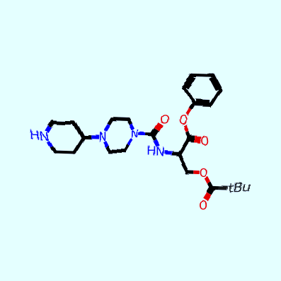 CC(C)(C)C(=O)OCC(NC(=O)N1CCN(C2CCNCC2)CC1)C(=O)Oc1ccccc1